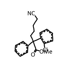 COC(=O)C(CCCCC#N)(c1ccccc1)c1ccccc1Cl